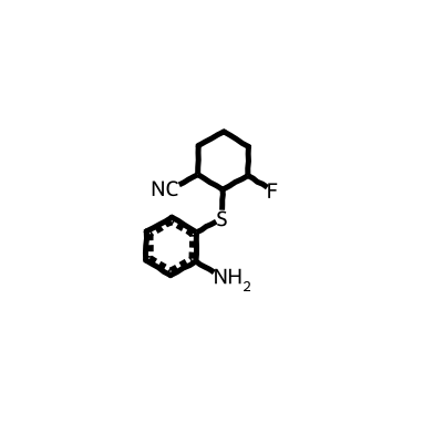 N#CC1CCCC(F)C1Sc1ccccc1N